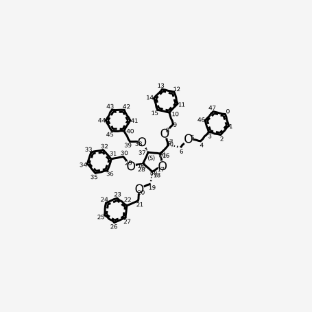 c1ccc(COC[C@@H](OCc2ccccc2)[C@H]2O[C@H](COCc3ccccc3)[C@@H](OCc3ccccc3)[C@@H]2OCc2ccccc2)cc1